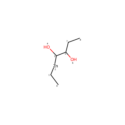 C[CH2][Zn][CH](O)C(O)CC